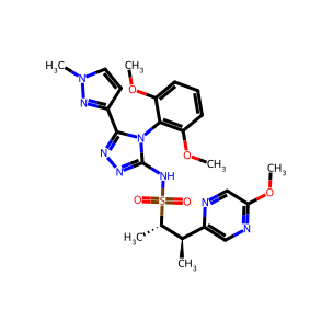 COc1cnc([C@@H](C)[C@H](C)S(=O)(=O)Nc2nnc(-c3ccn(C)n3)n2-c2c(OC)cccc2OC)cn1